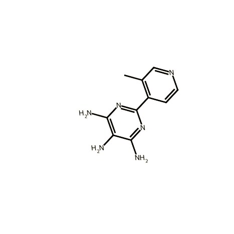 Cc1cnccc1-c1nc(N)c(N)c(N)n1